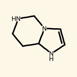 C1=CN2CNCCC2N1